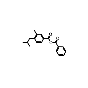 Cc1cc(C(=O)OC(=O)c2ccccc2)ccc1CC(C)C